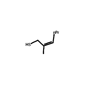 CCCC=C(C)CS